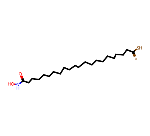 O=C(CCCCCCCCCCCCCCCCCCCCC(=S)S)NO